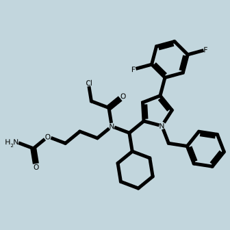 NC(=O)OCCCN(C(=O)CCl)C(c1cc(-c2cc(F)ccc2F)cn1Cc1ccccc1)C1CCCCC1